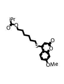 COc1ccc2c(SCCCCCCOC(=O)C(C)C)cc(=O)oc2c1